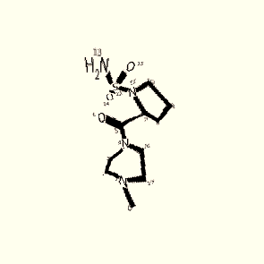 CN1CCN(C(=O)[C@@H]2CCCN2S(N)(=O)=O)CC1